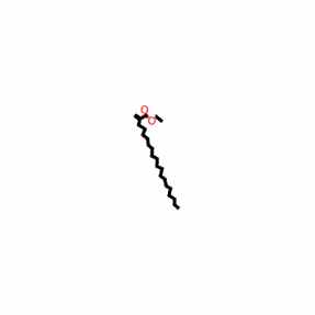 C=C(CCCCCCCCCCCCCCCCCC)C(=O)OCC